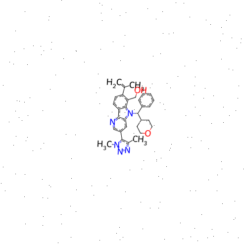 C=C(C)c1ccc2c3ncc(-c4c(C)nnn4C)cc3n(C(c3ccccc3)C3CCOCC3)c2c1CO